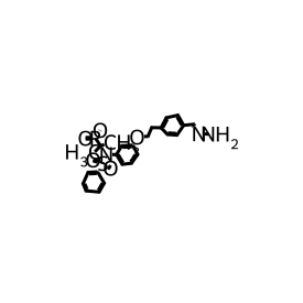 CC(C)(N(c1cccc(OCCc2ccc(C=NN)cc2)c1)S(=O)(=O)c1ccccc1)P(=O)=O